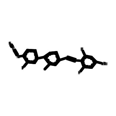 CCCCc1cc(F)c(C#Cc2ccc(-c3ccc(N=C=S)c(F)c3)c(C)c2)c(F)c1